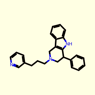 c1ccc(C2CN(CCCc3cccnc3)Cc3c2[nH]c2ccccc32)cc1